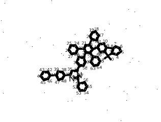 CC1(C)c2ccccc2-c2ccc(-c3c(-c4ccccc4)cc(-c4ccccc4)c(-c4ccc(-c5cc(-c6ccc(-c7ccccc7)cc6)nc(-c6ccccc6)n5)cc4)c3-c3ccccc3)cc21